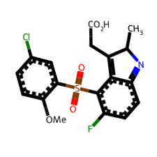 COc1ccc(Cl)cc1S(=O)(=O)c1c(F)ccc2c1=C(CC(=O)O)C(C)N=2